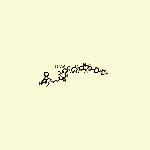 COc1cc2c(cc1OCCCOc1cc3c(cc1OC)C(=O)N1C=C(c4ccc(N5CCN(C)CC5)cc4)C[C@H]1C=N3)N=C[C@@H]1CC(C=CCN(CC3c4ccccc4-c4ccccc43)C(=O)O)=CN1C2=O